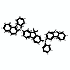 CC1(C)c2cc(N(c3ccccc3)c3ccc4sc5ccccc5c4c3)ccc2-c2ccc(-n3c4ccccc4c4c5ccccc5ccc43)cc21